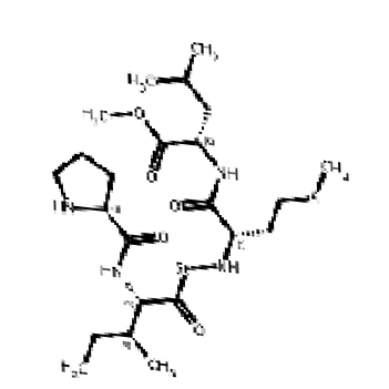 CC[C@H](C)[C@H](NC(=O)[C@@H]1CCCN1)C(=O)[Se]N[C@@H](CCSC)C(=O)N[C@@H](CC(C)C)C(=O)OC